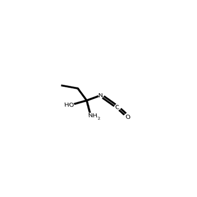 CCC(N)(O)N=C=O